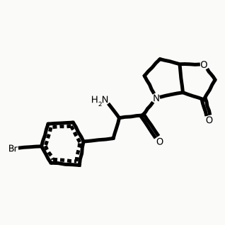 NC(Cc1ccc(Br)cc1)C(=O)N1CCC2OCC(=O)C21